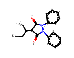 CC(=O)CC(C(=O)O)C1C(=O)N(c2ccccc2)N(c2ccccc2)C1=O